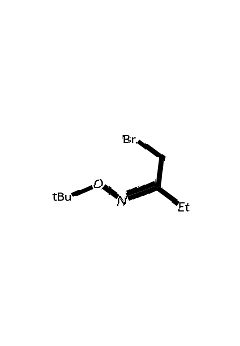 CCC(CBr)=NOC(C)(C)C